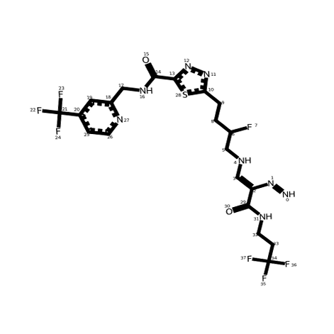 N=N/C(=C\NCC(F)CCc1nnc(C(=O)NCc2cc(C(F)(F)F)ccn2)s1)C(=O)NCCC(F)(F)F